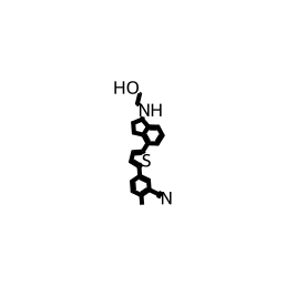 Cc1ccc(-c2ccc(-c3cccc4c3CCC4NCCO)s2)cc1C#N